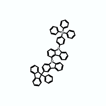 c1ccc(C2(c3ccc4c(c3)c3ccccc3n4-c3cccc4c3c3ccccc3n4-c3ccc([Si](c4ccccc4)(c4ccccc4)c4ccccc4)cc3)c3ccccc3-c3ccccc32)cc1